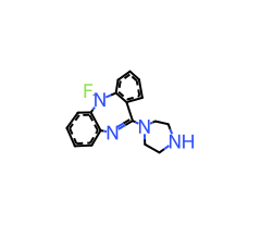 FN1c2ccccc2N=C(N2CCNCC2)c2ccccc21